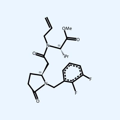 C=CCN(C(=O)C[C@@H]1CCC(=O)N1Cc1cccc(F)c1F)[C@H](C(=O)OC)C(C)C